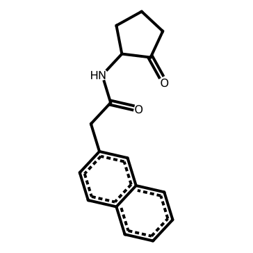 O=C(Cc1ccc2ccccc2c1)NC1CCCC1=O